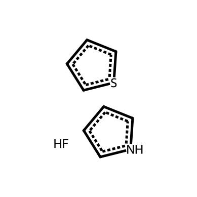 F.c1cc[nH]c1.c1ccsc1